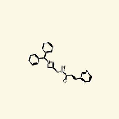 O=C(C=Cc1cccnc1)NCC1=CN(C(c2ccccc2)c2ccccc2)C1